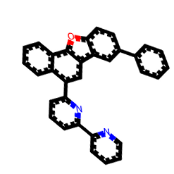 c1ccc(-c2ccc3oc4c5ccccc5c(-c5cccc(-c6ccccn6)n5)cc4c3c2)cc1